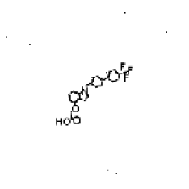 O=C(O)COc1cccc2c1ccn2Cc1ccc(-c2ccc(C(F)(F)F)cc2)cc1